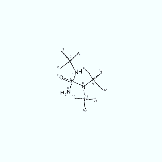 CC(C)(C)NP(N)(=O)N(C(C)(C)C)C(C)(C)C